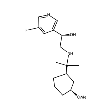 CO[C@H]1CCC[C@@H](C(C)(C)NC[C@H](O)c2cncc(F)c2)C1